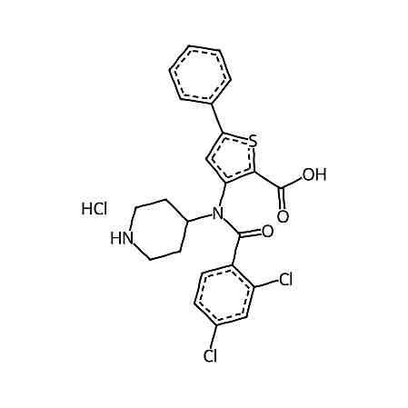 Cl.O=C(O)c1sc(-c2ccccc2)cc1N(C(=O)c1ccc(Cl)cc1Cl)C1CCNCC1